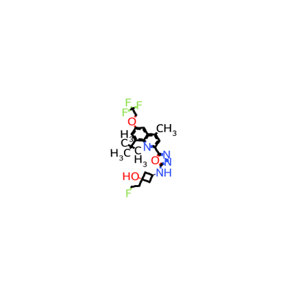 Cc1cc(-c2nnc(N[C@H]3C[C@](O)(CCF)C3)o2)nc2c(C(C)(C)C)cc(OCC(F)(F)F)cc12